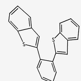 c1ccc(-c2cc3ccccc3s2)c(-c2cc3ccccc3s2)c1